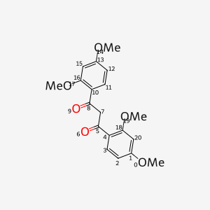 COc1ccc(C(=O)CC(=O)c2ccc(OC)cc2OC)c(OC)c1